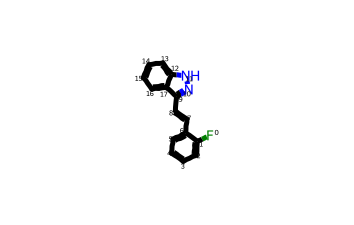 Fc1ccccc1C=Cc1n[nH]c2ccccc12